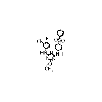 O=S(=O)(c1ccccc1)N1CCC(Nc2nc(Nc3ccc(F)c(Cl)c3)nc(OCC(F)(F)F)n2)CC1